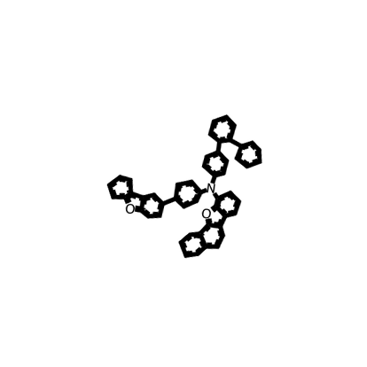 c1ccc(-c2ccccc2-c2ccc(N(c3ccc(-c4ccc5oc6ccccc6c5c4)cc3)c3cccc4c3oc3c5ccccc5ccc43)cc2)cc1